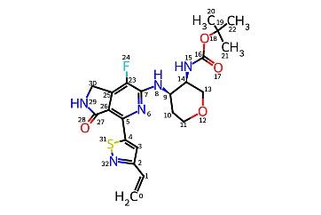 C=Cc1cc(-c2nc(N[C@@H]3CCOC[C@@H]3NC(=O)OC(C)(C)C)c(F)c3c2C(=O)NC3)sn1